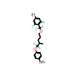 CCCc1ccc(OC(F)(F)C(C)CCCOC(F)(F)c2c(F)cc(CC)cc2F)cc1